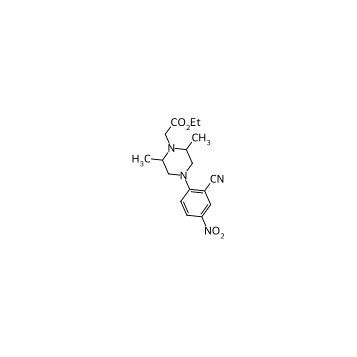 CCOC(=O)CN1C(C)CN(c2ccc([N+](=O)[O-])cc2C#N)CC1C